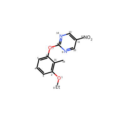 CCOc1cccc(Oc2ncc([N+](=O)[O-])cn2)c1C